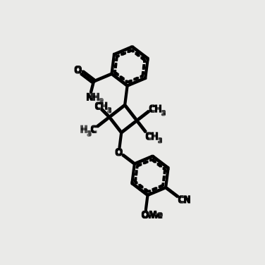 COc1cc(OC2C(C)(C)C(c3ccccc3C(N)=O)C2(C)C)ccc1C#N